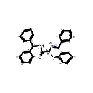 O=C(NC(c1ccccc1)c1ccccc1)[C@@H](Cc1ccccc1)/N=C/c1ccccc1